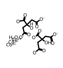 O.O=C([O-])CC(O)(CC(=O)[O-])C(=O)[O-].O=C([O-])CC(O)(CC(=O)[O-])C(=O)[O-].[Co+2].[Co+2].[Co+2]